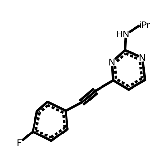 CC(C)Nc1nccc(C#Cc2ccc(F)cc2)n1